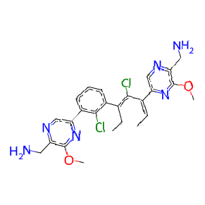 C/C=C(\C(Cl)=C(/CC)c1cccc(-c2cnc(CN)c(OC)n2)c1Cl)c1cnc(CN)c(OC)n1